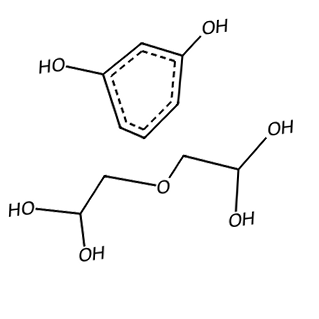 OC(O)COCC(O)O.Oc1cccc(O)c1